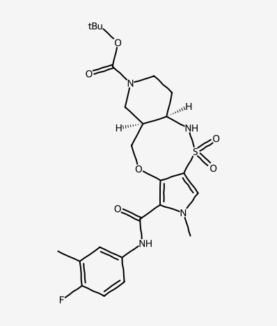 Cc1cc(NC(=O)c2c3c(cn2C)S(=O)(=O)N[C@@H]2CCN(C(=O)OC(C)(C)C)C[C@@H]2CO3)ccc1F